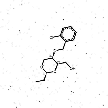 CC[C@H]1OC[C@@H](OCc2ccccc2Cl)[C@@H](CO)O1